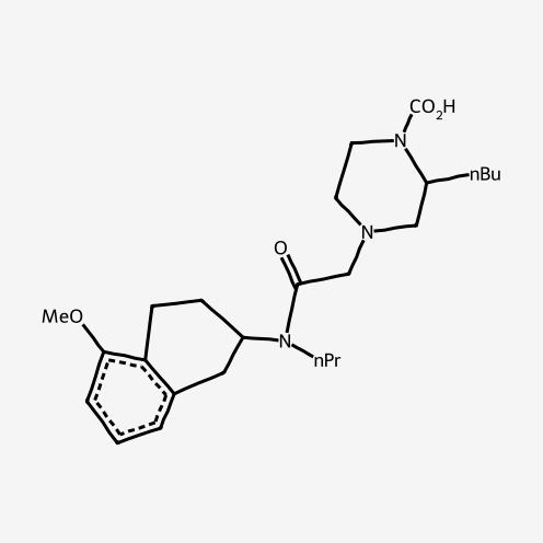 CCCCC1CN(CC(=O)N(CCC)C2CCc3c(cccc3OC)C2)CCN1C(=O)O